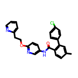 Cc1ccc(C(=O)Nc2ccc(OCCc3ccccn3)nc2)c(-c2ccc(Cl)cc2)c1